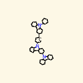 c1ccc(-n2c3ccccc3c3cc(-c4ccc(-n5c6ccccc6c6cc(-n7c8ccccc8c8ccccc87)ccc65)cc4)ccc32)cc1